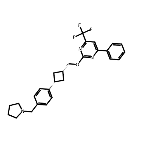 FC(F)(F)c1cc(-c2ccccc2)nc(OC[C@H]2C[C@@H](c3ccc(CN4CCCC4)cc3)C2)n1